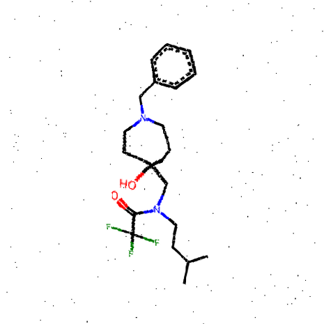 CC(C)CCN(CC1(O)CCN(Cc2ccccc2)CC1)C(=O)C(F)(F)F